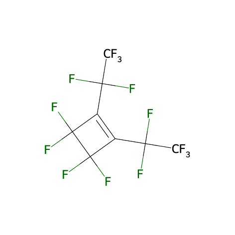 FC(F)(F)C(F)(F)C1=C(C(F)(F)C(F)(F)F)C(F)(F)C1(F)F